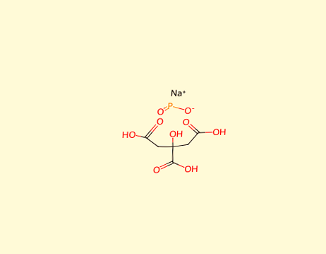 O=C(O)CC(O)(CC(=O)O)C(=O)O.O=P[O-].[Na+]